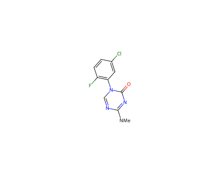 CNc1ncn(-c2cc(Cl)ccc2F)c(=O)n1